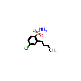 CCCCc1cc(Cl)ccc1S(N)(=O)=O